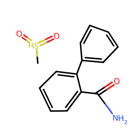 C[SH](=O)=O.NC(=O)c1ccccc1-c1ccccc1